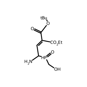 CCOC(=O)C(=CC(N)[PH](=O)CO)C(=O)OC(C)(C)C